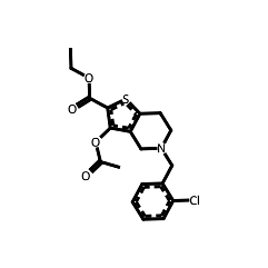 CCOC(=O)c1sc2c(c1OC(C)=O)CN(Cc1ccccc1Cl)CC2